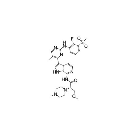 COCC(C(=O)Nc1nccc2c(-c3nc(Nc4cccc(S(C)(=O)=O)c4F)ncc3C)c[nH]c12)N1CCN(C)CC1